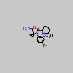 NC(=O)C1(N(C(=O)C2CCCCN2C(=O)O)c2ccc(Br)cc2)CC1